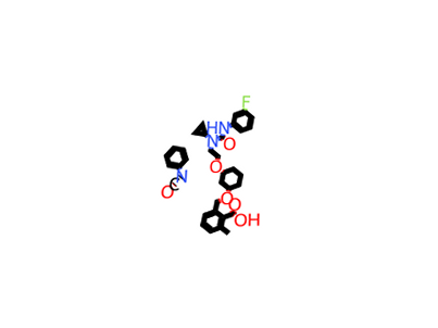 Cc1cccc(COC2CCCC(OCCN(C(=O)Nc3cccc(F)c3)C3CC3)C2)c1C(=O)O.O=C=Nc1ccccc1